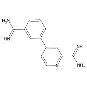 N=C(N)c1cccc(-c2ccnc(C(=N)N)c2)c1